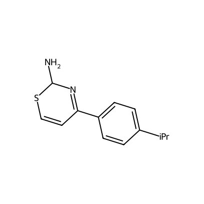 CC(C)c1ccc(C2=NC(N)SC=C2)cc1